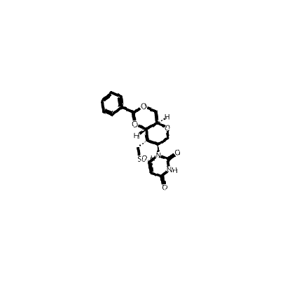 O=c1ccn([C@@H]2CO[C@@H]3COC(c4ccccc4)O[C@H]3[C@H]2CS(=O)(=O)O)c(=O)[nH]1